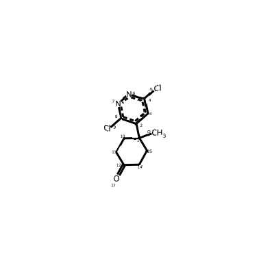 CC1(c2cc(Cl)nnc2Cl)CCC(=O)CC1